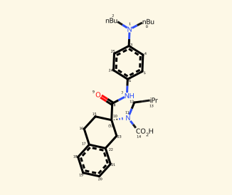 CCCCN(CCCC)c1ccc(NC(=O)[C@]2(N(CC(C)C)C(=O)O)CCc3ccccc3C2)cc1